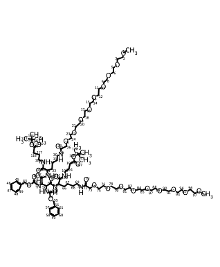 COCCOCCOCCOCCOCCOCCOCCOCCOCC(=O)NCCCCC(NC(=O)C(NC(=O)OCc1ccccc1)C(NC(=O)OCc1ccccc1)C(=O)NC(CCCCNC(=O)COCCOCCOCCOCCOCCOCCOCCOCCOC)C(=O)NCCCC(=O)OC(C)(C)C)C(=O)NCCCC(=O)OC(C)(C)C